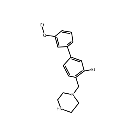 CCOc1cccc(-c2ccc(CN3CCNCC3)c(CC)c2)c1